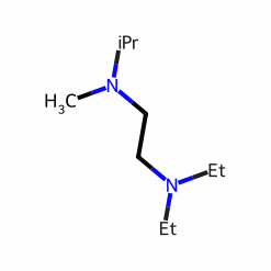 CCN(CC)CCN(C)C(C)C